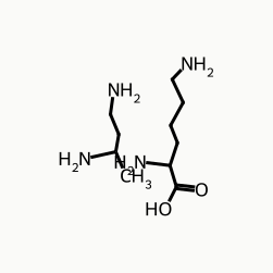 CC(N)CCN.NCCCCC(N)C(=O)O